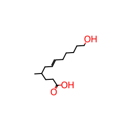 CC(CC=CCCCCCO)CCC(=O)O